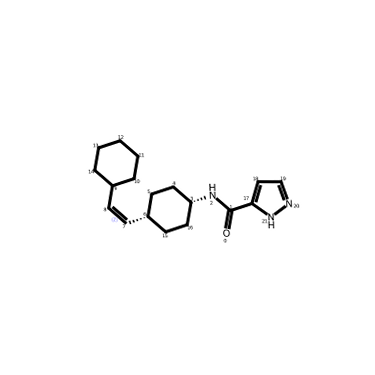 O=C(N[C@H]1CC[C@@H](/C=C\C2CCCCC2)CC1)c1ccn[nH]1